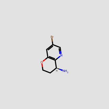 N[C@H]1CCOc2cc(Br)cnc21